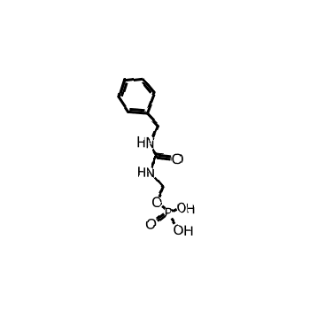 O=C(NCOP(=O)(O)O)NCc1ccccc1